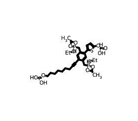 CCO[PH]1(Cc2cc(-c3ccc(O[PH](=O)O)s3)c(C[PH]3(OCC)OC(C)O3)cc2C#CCCCCCCCOP(O)O)OC(C)O1